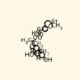 CCC1(C)CCCc2cc(S(=O)(=O)NC(=O)OC[C@@H](C)[C@H]3CC[C@H]4[C@@H]5[C@H](O)C[C@@H]6C[C@H](O)CC[C@]6(C)[C@H]5CC[C@]34C)ccc2O1